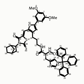 COc1cc(OC)cc(-c2cc(CCCNC(=O)[C@H](Cc3cn(C(c4ccccc4)(c4ccccc4)c4ccccc4)cn3)NC(=O)O)c(C=C3SC(=S)N(C4CC5CCC4C5)C3=O)o2)c1